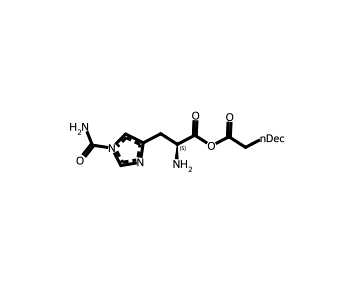 CCCCCCCCCCCC(=O)OC(=O)[C@@H](N)Cc1cn(C(N)=O)cn1